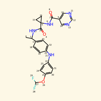 CC(NC(=O)C1(NC(=O)c2cncnc2)CC1)c1ccc(Nc2ccc(OC(F)F)cc2)cc1